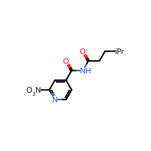 CC(C)CCC(=O)NC(=O)c1ccnc([N+](=O)[O-])c1